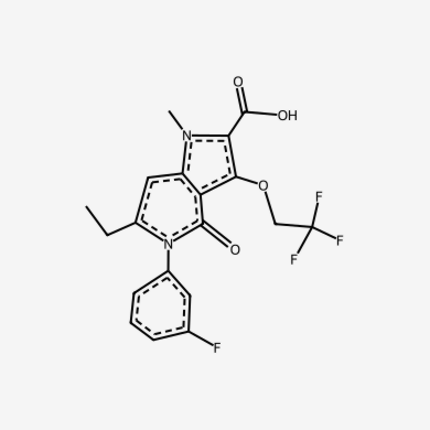 CCc1cc2c(c(OCC(F)(F)F)c(C(=O)O)n2C)c(=O)n1-c1cccc(F)c1